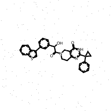 O=C(C(O)c1cccc(-c2csc3ccccc23)c1)N1CCc2nc(C3(c4ccccc4)CC3)[nH]c(=O)c2C1